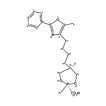 Cc1oc(-c2ccccc2)nc1CCCC[C@]1(C)CO[C@@](C)(C(=O)O)OC1